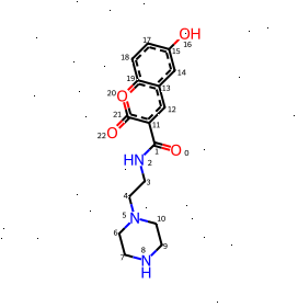 O=C(NCCN1CCNCC1)c1cc2cc(O)ccc2oc1=O